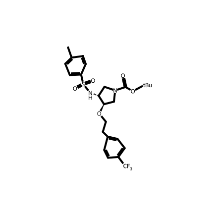 Cc1ccc(S(=O)(=O)N[C@@H]2CN(C(=O)OC(C)(C)C)C[C@H]2OCCc2ccc(C(F)(F)F)cc2)cc1